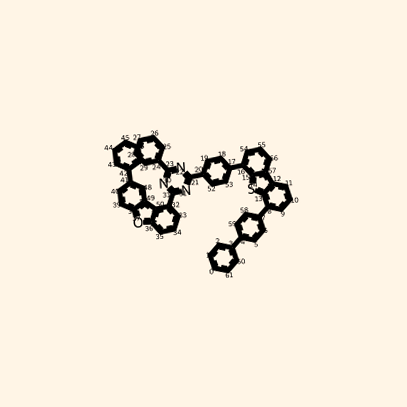 c1ccc(-c2ccc(-c3cccc4c3sc3c(-c5ccc(-c6nc(-c7ccccc7)nc(-c7cccc8oc9ccc(-c%10ccccc%10)cc9c78)n6)cc5)cccc34)cc2)cc1